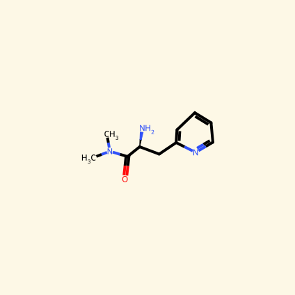 CN(C)C(=O)[C@@H](N)Cc1ccccn1